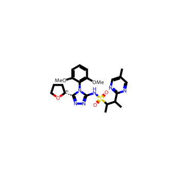 COc1cccc(OC)c1-n1c(NS(=O)(=O)C(C)C(C)c2ncc(C)cn2)nnc1[C@H]1CCCO1